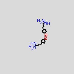 N=C(N)CCCc1ccc(OCOc2ccc(CCCC(=N)N)cc2)cc1